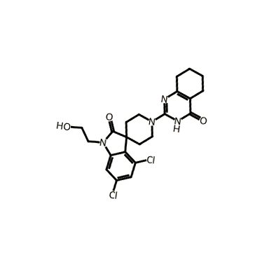 O=C1N(CCO)c2cc(Cl)cc(Cl)c2C12CCN(c1nc3c(c(=O)[nH]1)CCCC3)CC2